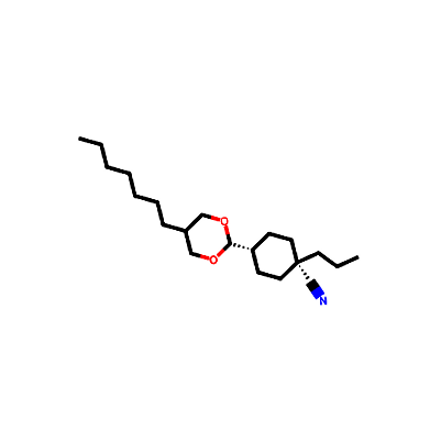 CCCCCCCC1COC([C@H]2CC[C@](C#N)(CCC)CC2)OC1